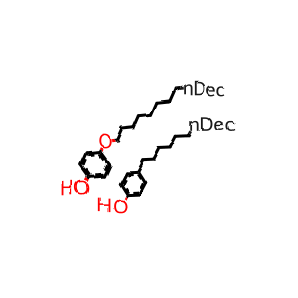 CCCCCCCCCCCCCCCCCCOc1ccc(O)cc1.CCCCCCCCCCCCCCCCc1ccc(O)cc1